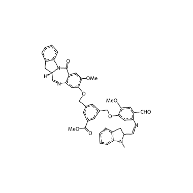 COC(=O)c1cc(COc2cc3c(cc2OC)C(=O)N2c4ccccc4C[C@H]2C=N3)cc(COc2cc(/N=C\C3Cc4ccccc4N3C)c(C=O)cc2OC)c1